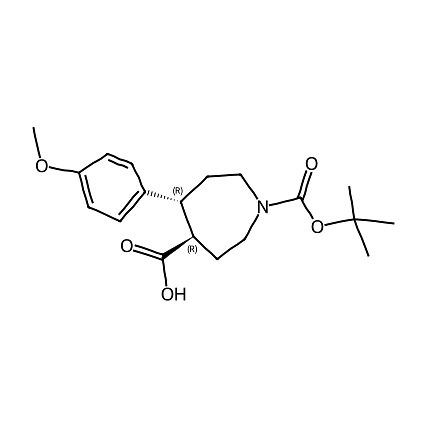 COc1ccc([C@@H]2CCN(C(=O)OC(C)(C)C)CC[C@H]2C(=O)O)cc1